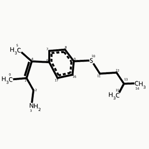 CC(CN)=C(C)c1ccc(SCCC(C)C)cc1